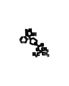 CC(C)(C)OC(=O)N1CCC(c2ccccc2)(c2nnn[nH]2)CC1